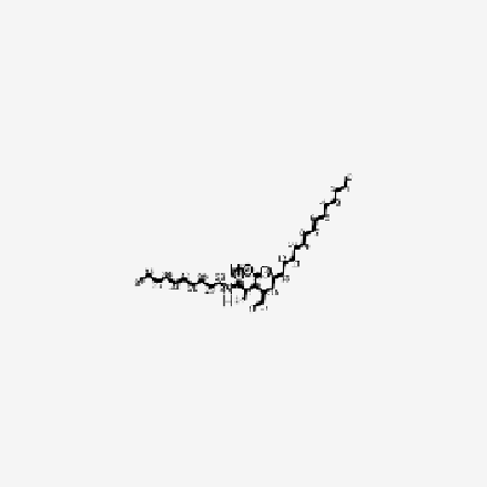 CCCCCCCCCCCCCCCCC(CC)C(C(=O)O)C(C)C(=O)NCCCCCCCCCC